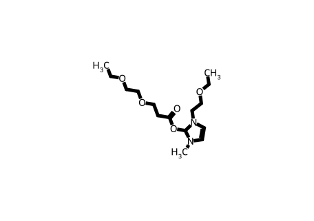 CCOCCOCCC(=O)OC1N(C)C=CN1CCOCC